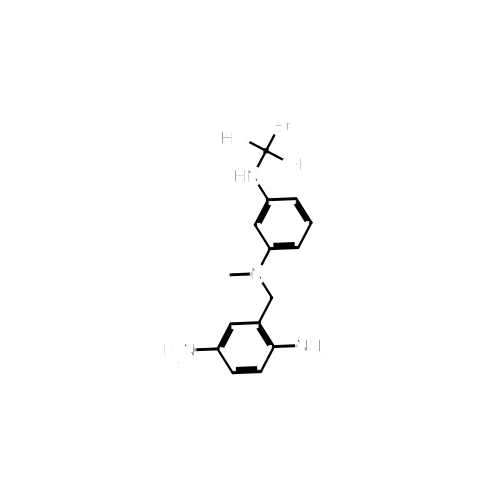 CCC(O)(O)Nc1cccc(N(C)Cc2cc(N)ccc2N)c1